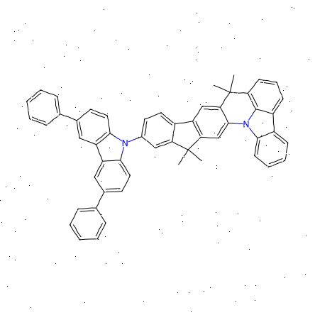 CC1(C)c2cc(-n3c4ccc(-c5ccccc5)cc4c4cc(-c5ccccc5)ccc43)ccc2-c2cc3c(cc21)-n1c2ccccc2c2cccc(c21)C3(C)C